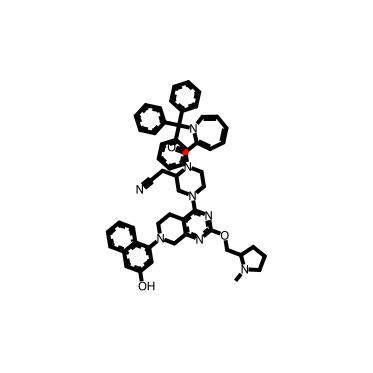 CN1CCCC1COc1nc2c(c(N3CCN(C(=O)C4=CC=CC=CN4C(c4ccccc4)(c4ccccc4)c4ccccc4)C(CC#N)C3)n1)CCN(c1cc(O)cc3ccccc13)C2